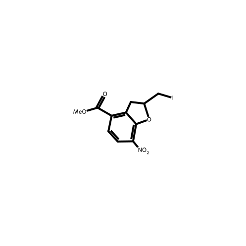 COC(=O)c1ccc([N+](=O)[O-])c2c1CC(CI)O2